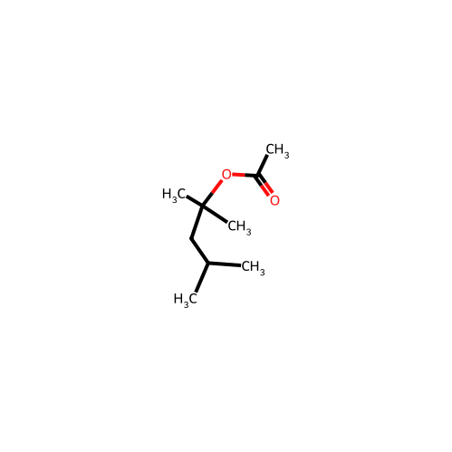 CC(=O)OC(C)(C)CC(C)C